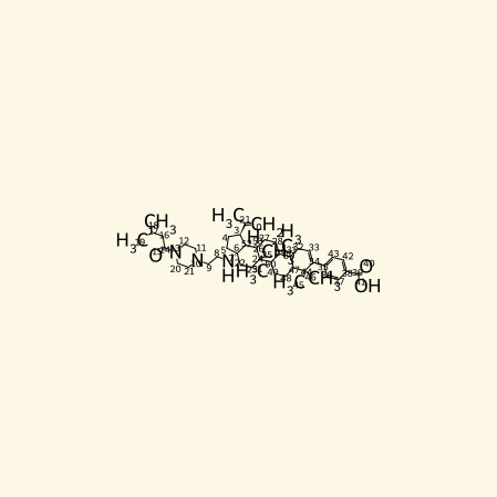 C=C(C)[C@@H]1CC[C@]2(NCCN3CCN(C(=O)CC(C)C)CC3)CC[C@]3(C)[C@H](CCC4[C@@]5(C)CC=C(c6ccc(C(=O)O)cc6)C(C)(C)C5CC[C@]43C)C12